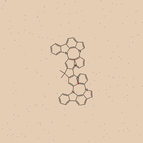 CC1(C)c2cc(-n3c4ccccc4c4ccc5ccn(-c6ccccc6)c5c43)ccc2-c2ccc(-n3c4ccccc4c4ccc5ccn(-c6ccccc6)c5c43)cc21